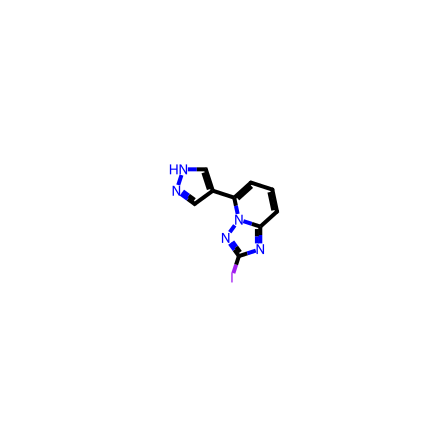 Ic1nc2cccc(-c3cn[nH]c3)n2n1